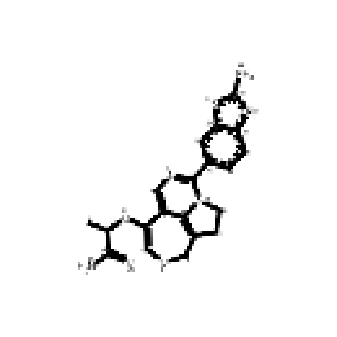 CC(OC1=COCC2=C3C1=CN=C(c1ccc4nc(N)sc4c1)N3CC2)C(N)=O